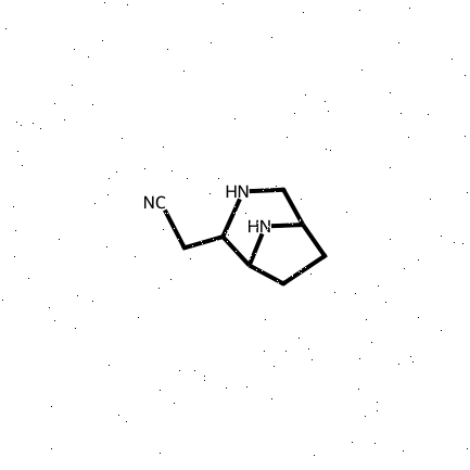 N#CCC1NCC2CCC1N2